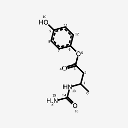 CC(CC(=O)Oc1ccc(O)cc1)NC(N)=O